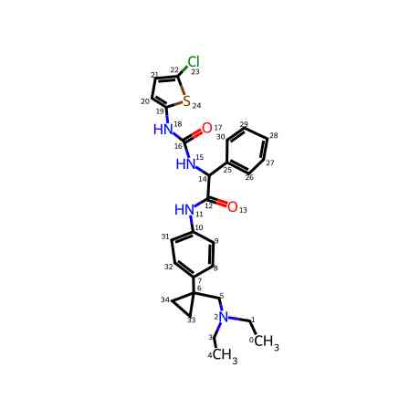 CCN(CC)CC1(c2ccc(NC(=O)C(NC(=O)Nc3ccc(Cl)s3)c3ccccc3)cc2)CC1